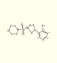 O=S(=O)(N1CCOCC1)N1CCC(c2ccccc2F)C1